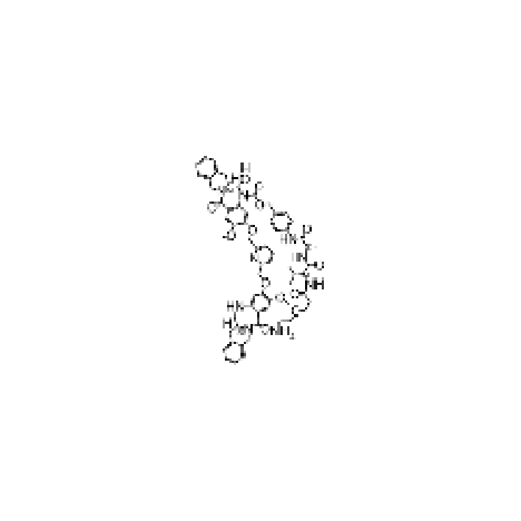 COc1cc2c(cc1OCc1cccc(COc3cc4c(cc3OC)C(=O)N3Cc5ccccc5C[C@H]3C(O)N4C(=O)OCc3ccc(NC(=O)[C@H](C)NC(=O)[C@@H](NC(=O)CCOCCN)C(C)C)cc3)n1)NC[C@@H]1Cc3ccccc3CN1C2=O